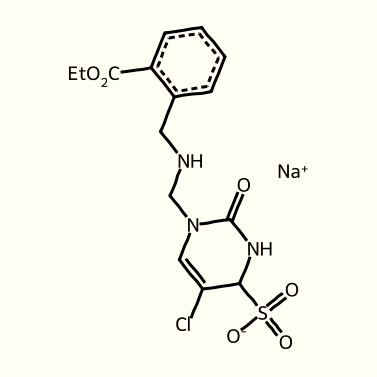 CCOC(=O)c1ccccc1CNCN1C=C(Cl)C(S(=O)(=O)[O-])NC1=O.[Na+]